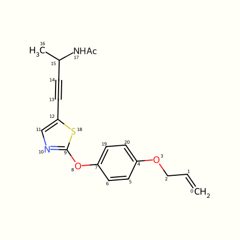 C=CCOc1ccc(Oc2ncc(C#CC(C)NC(C)=O)s2)cc1